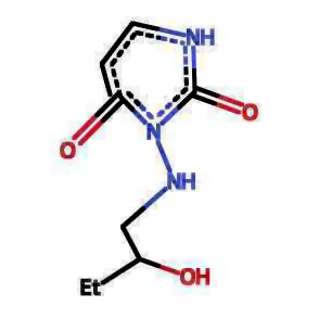 CCC(O)CNn1c(=O)cc[nH]c1=O